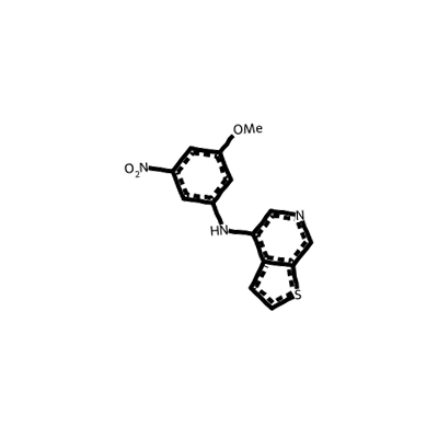 COc1cc(Nc2cncc3sccc23)cc([N+](=O)[O-])c1